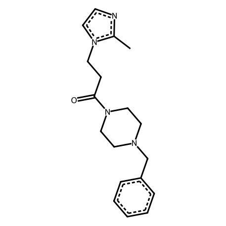 Cc1nccn1CCC(=O)N1CCN(Cc2ccccc2)CC1